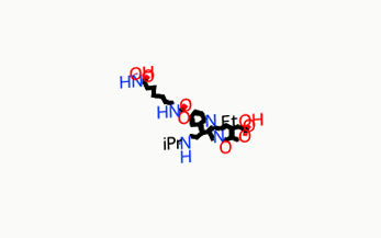 CC[C@@]1(O)C(=O)OCc2c1cc1n(c2=O)Cc2c-1nc1ccc(OC(=O)NCCCCCCC(=O)NO)cc1c2CCNC(C)C